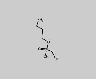 NCCCOP(=O)(O)CO